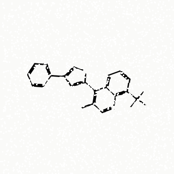 Cc1cnc2c(C(F)(F)F)cccc2c1-c1cc(-c2ccccc2)cs1